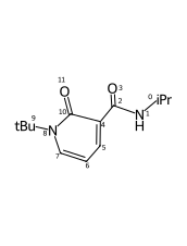 CC(C)NC(=O)c1cccn(C(C)(C)C)c1=O